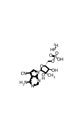 [2H]POP(=O)(O)OC[C@H]1O[C@@H](n2cc([N+]#[C-])c3c(N)ncnc32)[C@](C)(O)[C@@H]1O